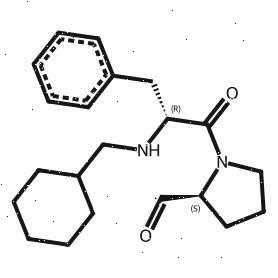 O=[C][C@@H]1CCCN1C(=O)[C@@H](Cc1ccccc1)NCC1CCCCC1